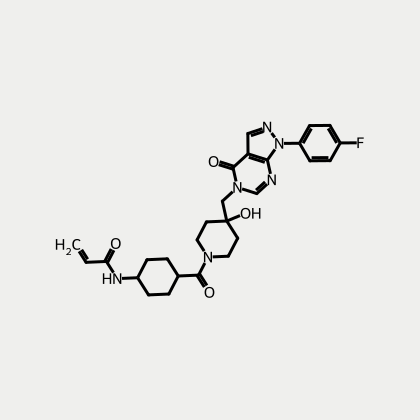 C=CC(=O)NC1CCC(C(=O)N2CCC(O)(Cn3cnc4c(cnn4-c4ccc(F)cc4)c3=O)CC2)CC1